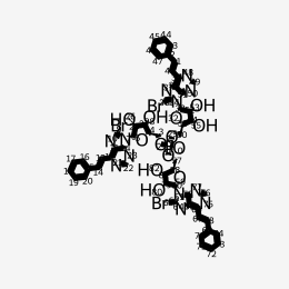 O=P(OC[C@H]1O[C@@H](n2c(Br)nc3c(/C=C/c4ccccc4)ncnc32)[C@H](O)[C@@H]1O)(OC[C@H]1O[C@@H](n2c(Br)nc3c(/C=C/c4ccccc4)ncnc32)[C@H](O)[C@@H]1O)OC[C@H]1O[C@@H](n2c(Br)nc3c(/C=C/c4ccccc4)ncnc32)[C@H](O)[C@@H]1O